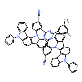 Cc1cc(I)cc(-c2nc(-c3cc(C#N)ccc3-n3c4ccccc4c4ccc5c(c6ccccc6n5-c5ccccc5)c43)nc(-c3ccc(C#N)cc3-n3c4ccccc4c4ccc5c(c6ccccc6n5-c5ccccc5)c43)n2)c1